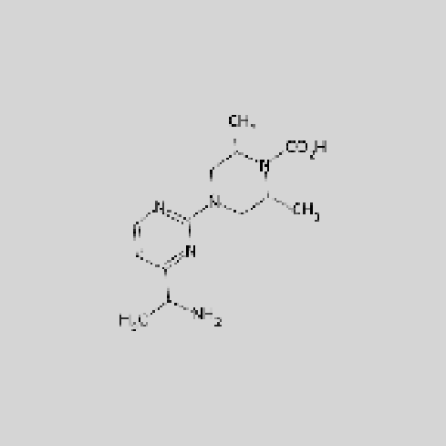 CC(N)c1ccnc(N2C[C@@H](C)N(C(=O)O)[C@@H](C)C2)n1